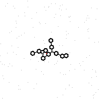 c1ccc(-c2ccc(N(c3ccc(-c4ccc5ccccc5c4)cc3)c3ccc(-c4ccccc4-n4c5ccccc5c5ccc(-c6ccccc6)cc54)cc3)cc2)cc1